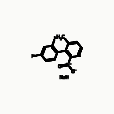 Cc1cc[c]c([N+](=O)[O-])c1-c1ccc(F)cc1F.[NaH]